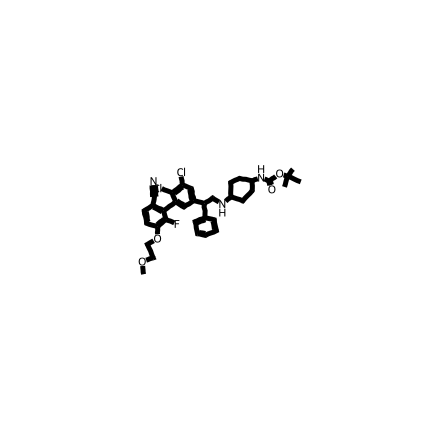 COCCOc1ccc(C#N)c(-c2cc(C(CNC3CCC(NC(=O)OC(C)(C)C)CC3)c3ccccc3)cc(Cl)c2Cl)c1F